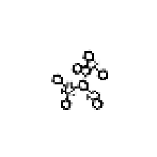 c1ccc(-c2nc(-c3ccccc3)nc(-c3cc(-c4ccc5ccccc5n4)cc(-c4cc5c(-c6ccccc6)nc6ccccc6c5c5ccccc45)c3)n2)cc1